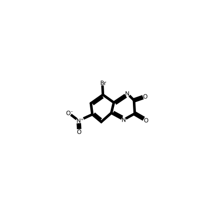 O=C1N=c2cc([N+](=O)[O-])cc(Br)c2=NC1=O